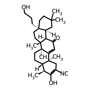 [C-]#[N+]C1=C(O)[C@@H](C)[C@@H]2CC[C@]3(C)C(=CC(=O)[C@@H]4[C@@H]5CC(C)(C)CC[C@]5(CCCO)CC[C@]43C)[C@@]2(C)C1